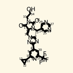 O=C1/C(=C/n2cnc(-c3cc(C4CC4)nc(C(F)(F)F)c3)n2)N(Cc2cncnc2)C(=O)N1CCO